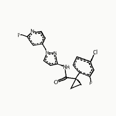 O=C(Nc1ccn(-c2ccnc(F)c2)n1)C1(c2ccc(Cl)cc2F)CC1